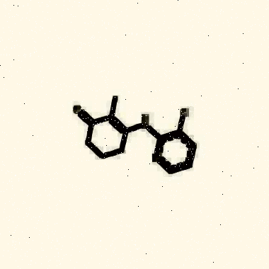 CC1=C(Nc2ncccc2Cl)CCCC1=O